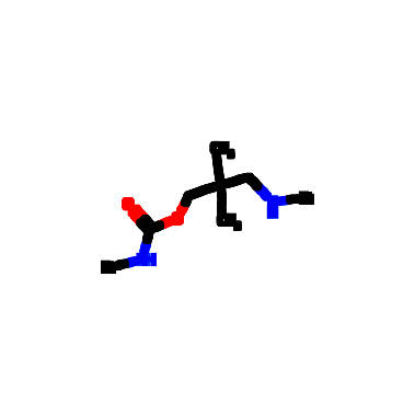 CCNCC(C)(C)COC(=O)NCC